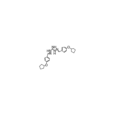 N=C(N/N=C/c1ccc(OC2CCCC2)cc1)N/N=C/c1ccc(OC2CCCC2)cc1